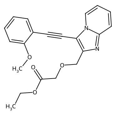 CCOC(=O)COCc1nc2ccccn2c1C#Cc1ccccc1OC